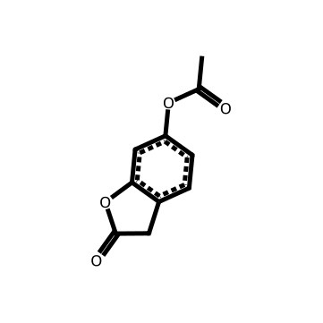 CC(=O)Oc1ccc2c(c1)OC(=O)C2